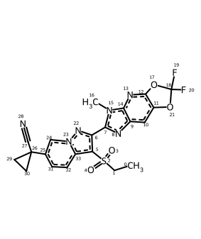 CCS(=O)(=O)c1c(-c2nc3cc4c(nc3n2C)OC(F)(F)O4)nn2cc(C3(C#N)CC3)ccc12